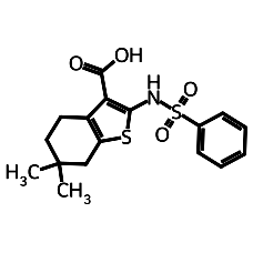 CC1(C)CCc2c(sc(NS(=O)(=O)c3ccccc3)c2C(=O)O)C1